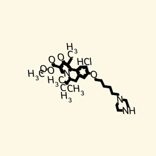 CCc1c2n(cc(C(=O)OOC)c1=O)C(C(C)(C)C)Cc1cc(OCCCCCCN3CCNCC3)ccc1-2.Cl